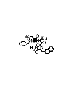 CCC(C)C(NC(=O)C(CC(C)C)NC(=O)CN1CCOCC1)C(=O)C(=O)NC(Cc1ccc2ccccc2c1)C(N)=O